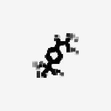 CC(C)C(=O)c1ccc(C(C)(C)O)cc1